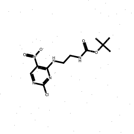 CC(C)(C)OC(=O)NCCNc1nc(Cl)ncc1[N+](=O)[O-]